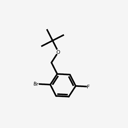 CC(C)(C)OCc1cc(F)ccc1Br